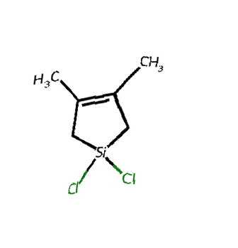 CC1=C(C)C[Si](Cl)(Cl)C1